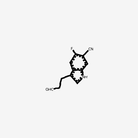 N#Cc1cc2[nH]cc(CCC=O)c2cc1F